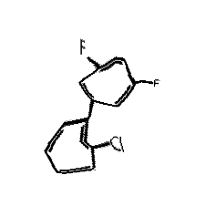 Fc1cc(F)cc(-c2ccc[c]c2Cl)c1